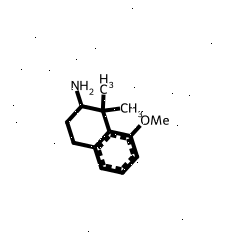 COc1cccc2c1C(C)(C)C(N)CC2